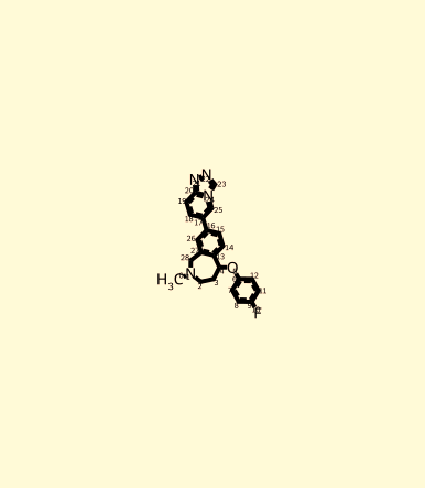 CN1CCC(Oc2ccc(F)cc2)c2ccc(-c3ccc4nncn4c3)cc2C1